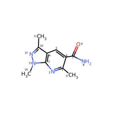 Cc1nc2c(cc1C(N)=O)c(C)nn2C